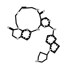 O=C1NC/C=C\CCCN2C(=O)COc3ccc(nc32)Nc2nc(Nc3ccc4c(ccn4C4CCNCC4)c3)ncc21